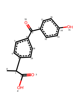 CC(C(=O)O)c1ccc(C(=O)c2ccc(O)cc2)cc1